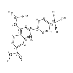 COC(=O)c1ccc2c(OC(F)F)cc(-c3ccc(C(F)(F)F)cc3)nc2c1